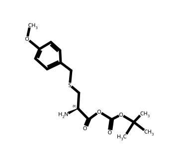 COc1ccc(CSC[C@H](N)C(=O)OC(=O)OC(C)(C)C)cc1